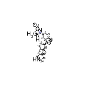 CN/C(=N\OC=O)c1ccc2noc(-c3cccc(OC4CCNCC4)c3)c2c1